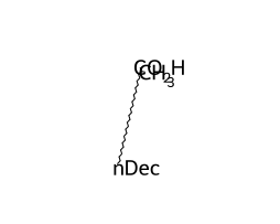 CCCCCCCCCCCCCCCCCCCCCCCCCCCCCCCCCCCCC=C(C)C(=O)O